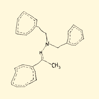 CC(=NN(Cc1ccccc1)Cc1ccccc1)c1ccccc1